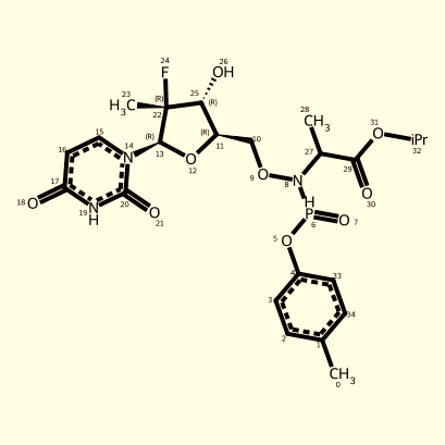 Cc1ccc(O[PH](=O)N(OC[C@H]2O[C@@H](n3ccc(=O)[nH]c3=O)[C@](C)(F)[C@@H]2O)C(C)C(=O)OC(C)C)cc1